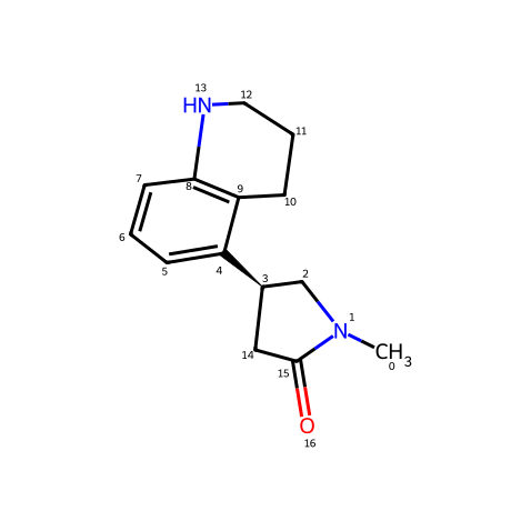 CN1C[C@H](c2cccc3c2CCCN3)CC1=O